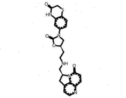 O=C1CSc2ccc(N3C[C@@H](CCNC[C@@H]4Cc5ccnc6ccc(=O)n4c56)OC3=O)cc2N1